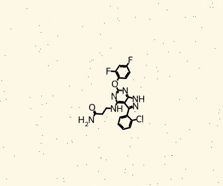 NC(=O)CCNc1nc(Oc2ccc(F)cc2F)nc2[nH]nc(-c3ccccc3Cl)c12